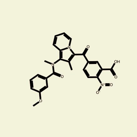 COc1cccc(C(=O)N(C)c2c(C)c(C(=O)c3ccc([N+](=O)[O-])c(C(=O)O)c3)n3ccccc23)c1